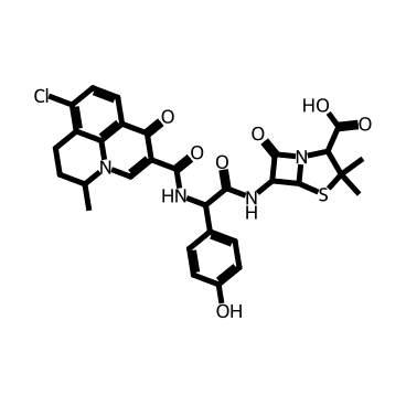 CC1CCc2c(Cl)ccc3c(=O)c(C(=O)NC(C(=O)NC4C(=O)N5C4SC(C)(C)C5C(=O)O)c4ccc(O)cc4)cn1c23